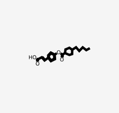 CCCCCC1CCC(C(=O)Oc2ccc(C=CC(=O)O)cc2)CC1